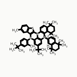 Cc1ccc2sc3c(c2c1)N(c1ccc(C(C)(C)C)cc1C)c1cc(C(C)(C)C)cc2c1B3c1ccc3c(c1N2c1ccc2c(c1)C(C)(C)CCC2(C)C)C(C)(C)CCC3(C)C